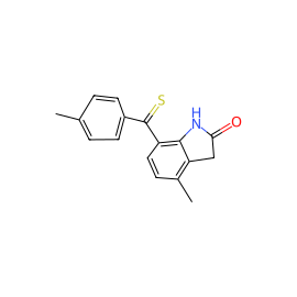 Cc1ccc(C(=S)c2ccc(C)c3c2NC(=O)C3)cc1